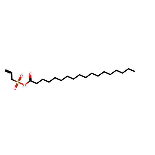 C=CCS(=O)(=O)OC(=O)CCCCCCCCCCCCCCCCC